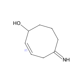 N=C1C/C=C\C(O)CCC1